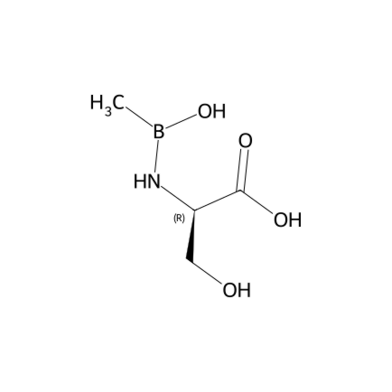 CB(O)N[C@H](CO)C(=O)O